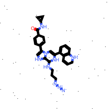 [N-]=[N+]=NCCCNC1NC(c2cccc3c2C=CCN3)=CN2C(C3=CCC(C(=O)NC4CC4)C=C3)=CNC12